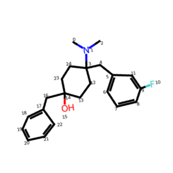 CN(C)C1(Cc2cccc(F)c2)CCC(O)(Cc2ccccc2)CC1